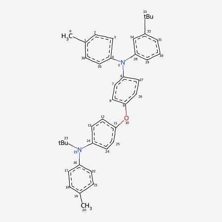 Cc1ccc(N(c2ccc(Oc3ccc(N(c4ccc(C)cc4)C(C)(C)C)cc3)cc2)c2cccc(C(C)(C)C)c2)cc1